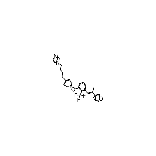 CC(=Cc1cccc(Oc2ccc(CCCCn3ccnn3)cc2)c1C(F)(F)F)c1cocn1